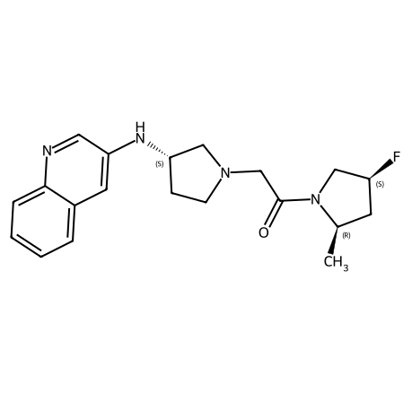 C[C@@H]1C[C@H](F)CN1C(=O)CN1CC[C@H](Nc2cnc3ccccc3c2)C1